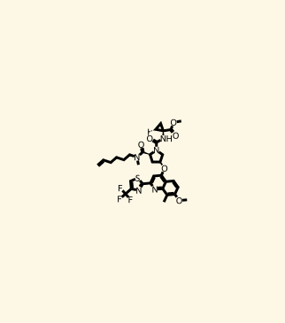 C=CCCCCN(C)C(=O)[C@@H]1C[C@H](Oc2cc(-c3nc(C(F)(F)F)cs3)nc3c(C)c(OC)ccc23)CN1C(=O)N[C@]1(C(=O)OC)C[C@H]1I